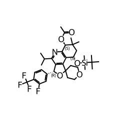 CC(=O)O[C@@H]1c2nc(C(C)C)c3c(c2[C@@H](O[Si](C)(C)C(C)(C)C)CC1(C)C)C1(CCOCC1)O[C@@H]3c1ccc(C(F)(F)F)c(F)c1